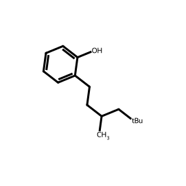 CC(CCc1ccccc1O)CC(C)(C)C